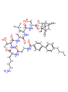 CCCCc1ccc(-c2ccc(C(=O)NCCC(=O)N[C@@H](CCCCN)C(=O)N[C@H](C(=O)N[C@@H](C)C(=O)N[C@@H](CC(C)C)C(=O)N[C@@H](CO)B3OC4C[C@@H]5C[C@@H](C5(C)C)[C@]4(C)O3)C(C)O)cc2)cc1